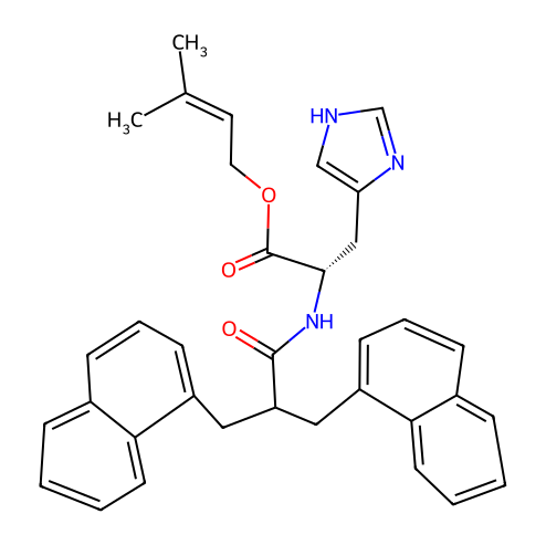 CC(C)=CCOC(=O)[C@H](Cc1c[nH]cn1)NC(=O)C(Cc1cccc2ccccc12)Cc1cccc2ccccc12